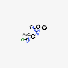 COc1cc(Nc2nc3c(c(N4CCC4)n2)CC[C@H]3c2ccccc2)ccc1-n1cnc(Cl)c1